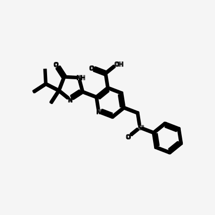 CC(C)C1(C)N=C(c2ncc(C[S+]([O-])c3ccccc3)cc2C(=O)O)NC1=O